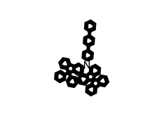 c1ccc(-c2ccc(-c3ccc(N(c4ccc5c(c4)-c4ccccc4C5(c4ccccc4)c4ccccc4)c4cccc5c4-c4ccccc4C54c5ccccc5-c5ccccc54)cc3)cc2)cc1